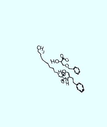 CCCCCCCCCCS(=O)(=O)NC(CO)CCc1ccccc1.O=P(=O)C(O)COCc1ccccc1